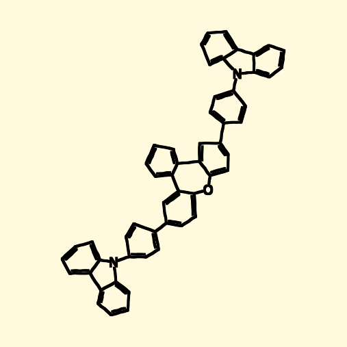 c1ccc2c(c1)-c1cc(-c3ccc(-n4c5ccccc5c5ccccc54)cc3)ccc1Oc1ccc(-c3ccc(-n4c5ccccc5c5ccccc54)cc3)cc1-2